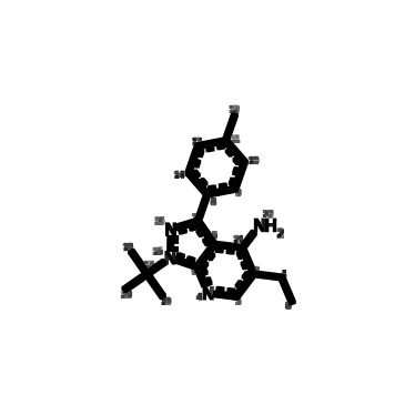 CCc1cnc2c(c(-c3ccc(C)cc3)nn2C(C)(C)C)c1N